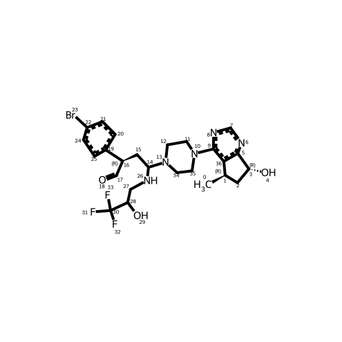 C[C@@H]1C[C@@H](O)c2ncnc(N3CCN(C(C[C@@H](C=O)c4ccc(Br)cc4)NCC(O)C(F)(F)F)CC3)c21